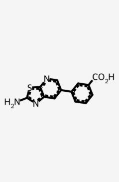 Nc1nc2cc(-c3cccc(C(=O)O)c3)cnc2s1